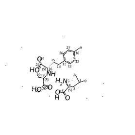 CC(C)C[C@H](N)C(=O)O.Cc1ccc(CC[C@H](N[C@H](C)C(=O)O)C(=O)O)cc1